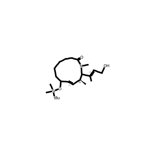 C/C(=C\CO)C1[C@@H](C)/C=C/C(O[Si](C)(C)C(C)(C)C)CCCCCC(=O)N1C